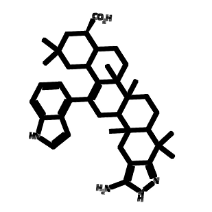 CC1(C)CC2C3=C(c4cccc5[nH]ccc45)CC4C5(C)Cc6c(n[nH]c6N)C(C)(C)C5CCC4(C)C3(C)CCC2[C@H](C(=O)O)C1